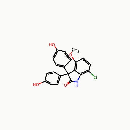 COc1ccc(Cl)c2c1C(c1ccc(O)cc1)(c1ccc(O)cc1)C(=O)N2